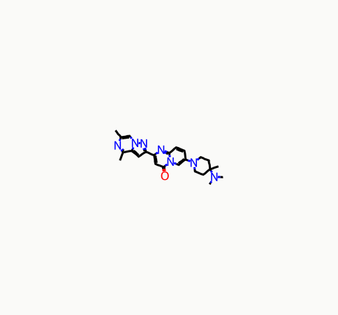 Cc1cn2nc(-c3cc(=O)n4cc(N5CCC(C)(N(C)C)CC5)ccc4n3)cc2c(C)n1